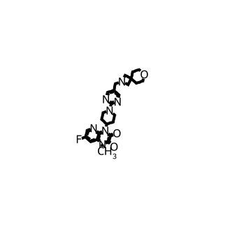 Cn1c(=O)c(=O)n(C2CCN(c3ncc(CN4CC5(CCOCC5)C4)cn3)CC2)c2ncc(F)cc21